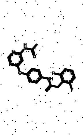 C=C(Cc1c(F)cccc1F)Nc1ccc(Oc2cc(NC(C)=O)ncn2)cc1